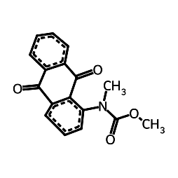 COC(=O)N(C)c1cccc2c1C(=O)c1ccccc1C2=O